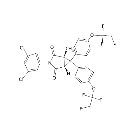 C[C@]12C(=O)N(c3cc(Cl)cc(Cl)c3)C(=O)[C@H]1C2(c1ccc(OC(F)(F)CF)cc1)c1ccc(OC(F)(F)CF)cc1